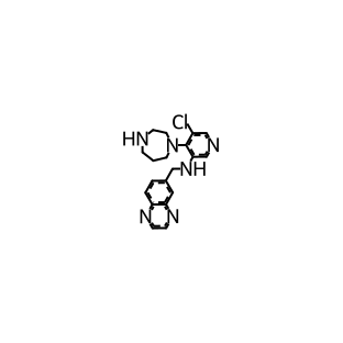 Clc1cncc(NCc2ccc3nccnc3c2)c1N1CCCNCC1